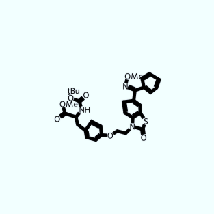 CON=C(c1ccccc1)c1ccc2c(c1)sc(=O)n2CCOc1ccc(CC(NC(=O)OC(C)(C)C)C(=O)OC)cc1